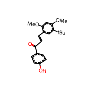 COc1cc(OC)c(C(C)(C)C)cc1/C=C/C(=O)c1ccc(O)cc1